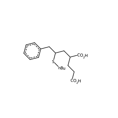 CCCCSC(Cc1ccccc1)CC(CCC(=O)O)C(=O)O